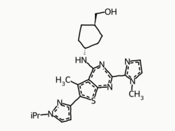 Cc1c(-c2ccn(C(C)C)n2)sc2nc(-c3nccn3C)nc(N[C@H]3CC[C@H](CO)CC3)c12